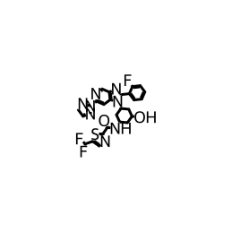 O=C(NC1CC(O)CC(n2c(-c3ccccc3F)nc3cnc(-n4nccn4)cc32)C1)c1ncc(C(F)F)s1